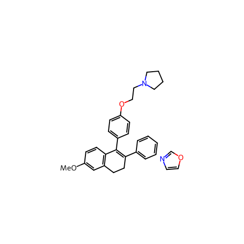 COc1ccc2c(c1)CCC(c1ccccc1)=C2c1ccc(OCCN2CCCC2)cc1.c1cocn1